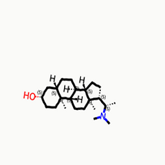 C[C@@H]([C@H]1CC[C@H]2[C@@H]3CC[C@H]4C[C@@H](O)CC[C@]4(C)[C@H]3CC[C@]12C)N(C)C